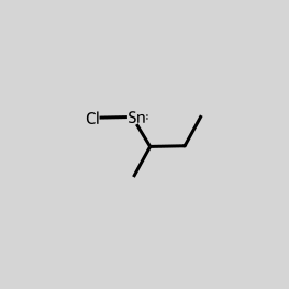 CC[CH](C)[Sn][Cl]